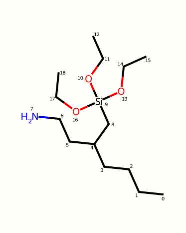 CCCCC(CCN)C[Si](OCC)(OCC)OCC